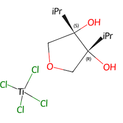 CC(C)[C@]1(O)COC[C@]1(O)C(C)C.[Cl][Ti]([Cl])([Cl])[Cl]